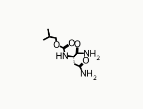 CC(C)COC(=O)N[C@@H](CC(N)=O)C(N)=O